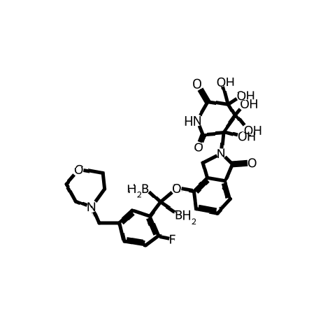 BC(B)(Oc1cccc2c1CN(C1(O)C(=O)NC(=O)C(O)(O)C1(O)O)C2=O)c1cc(CN2CCOCC2)ccc1F